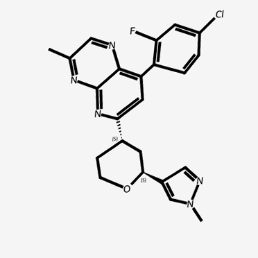 Cc1cnc2c(-c3ccc(Cl)cc3F)cc([C@H]3CCO[C@H](c4cnn(C)c4)C3)nc2n1